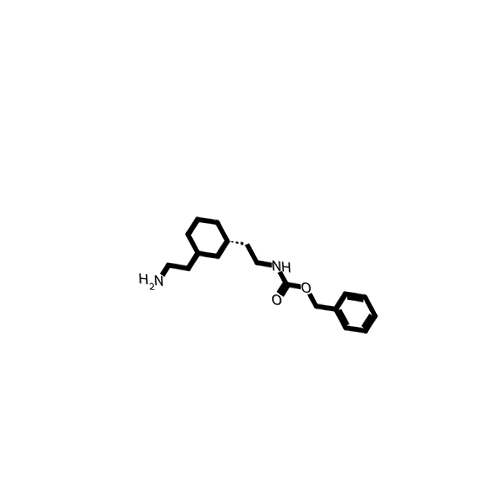 NCCC1CCC[C@H](CCNC(=O)OCc2ccccc2)C1